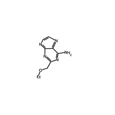 CCOCc1nc(N)c2nccnc2n1